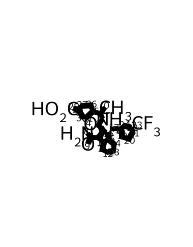 CC(NC(=O)c1c(C(N)=O)c2ccccc2n1Cc1cccc(C(F)(F)F)c1)c1ccc(C(=O)O)cc1